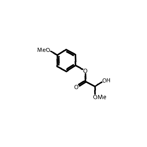 COc1ccc(OC(=O)C(O)OC)cc1